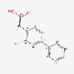 O=C(O)Cc1ccc(-c2ccccc2)cc1F